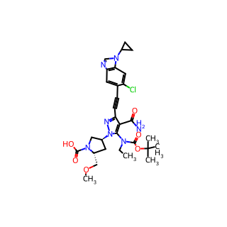 CCN(C(=O)OC(C)(C)C)c1c(C(N)=O)c(C#Cc2cc3ncn(C4CC4)c3cc2Cl)nn1[C@H]1C[C@H](COC)N(C(=O)O)C1